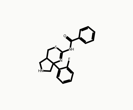 O=C(NC1=NC2(c3ccccc3F)CNCC2CS1)c1ccccc1